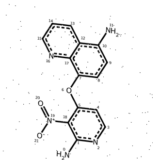 Nc1nccc(Oc2ccc(N)c3cccnc23)c1[N+](=O)[O-]